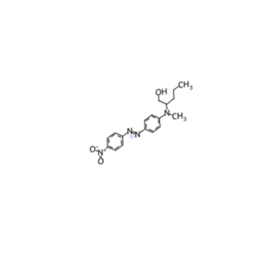 CCCC(CO)N(C)c1ccc(/N=N/c2ccc([N+](=O)[O-])cc2)cc1